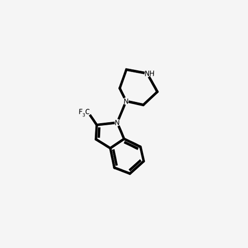 FC(F)(F)c1cc2ccccc2n1N1CCNCC1